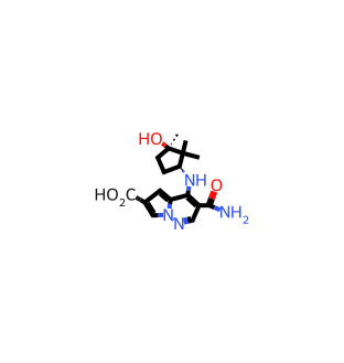 CC1(C)[C@H](Nc2c(C(N)=O)cnn3cc(C(=O)O)cc23)CC[C@@]1(C)O